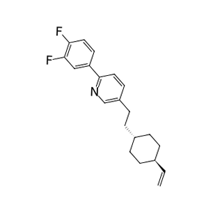 C=C[C@H]1CC[C@H](CCc2ccc(-c3ccc(F)c(F)c3)nc2)CC1